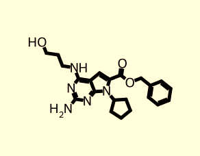 Nc1nc(NCCCO)c2cc(C(=O)OCc3ccccc3)n(C3CCCC3)c2n1